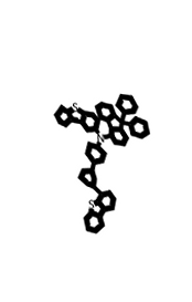 c1ccc(C2(c3ccccc3)c3ccccc3-c3c(N(c4ccc(-c5cccc(-c6cccc7c6sc6ccccc67)c5)cc4)c4ccc5sc6ccccc6c5c4)cccc32)cc1